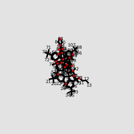 C=C(OP(OC(=C)C(CCCCCC)(c1ccc(C(C)(C)C)cc1C(C)(C)C)c1ccc(C(C)(C)C)cc1C(C)(C)C)OC(=C)C(CCCCCC)(c1ccc(C(C)(C)C)cc1C(C)(C)C)c1ccc(C(C)(C)C)cc1C(C)(C)C)C(CCCCCC)(c1ccc(C(C)(C)C)cc1C(C)(C)C)c1ccc(C(C)(C)C)cc1C(C)(C)C